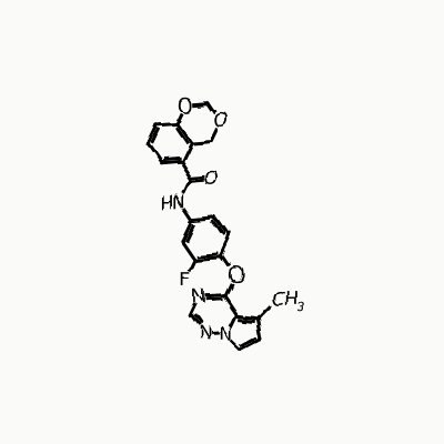 Cc1ccn2ncnc(Oc3ccc(NC(=O)c4cccc5c4COCO5)cc3F)c12